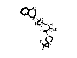 CC[C@H](Nc1nnc([C@H]2COc3ccccc3C2)o1)C(=O)N1CC[C@@]2(C1)CC2(F)F